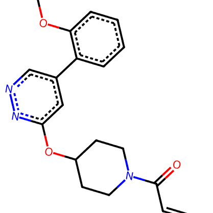 C=CC(=O)N1CCC(Oc2cc(-c3ccccc3OC)cnn2)CC1